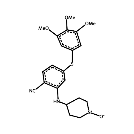 COc1cc(Sc2ccc(C#N)c(NC3CC[S+]([O-])CC3)c2)cc(OC)c1OC